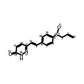 C=CC[S+]([O-])c1ccc(C=Cc2ccc(=O)[nH]n2)cc1